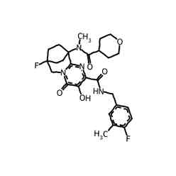 Cc1cc(CNC(=O)c2nc3n(c(=O)c2O)CC2(F)CCC3(N(C)C(=O)C3CCOCC3)CC2)ccc1F